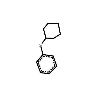 c1ccc(SC2CCCCC2)cc1